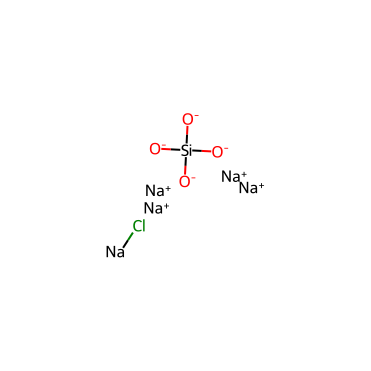 [Na+].[Na+].[Na+].[Na+].[Na][Cl].[O-][Si]([O-])([O-])[O-]